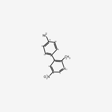 Cc1ncc([N+](=O)[O-])cc1-c1ccc(C#N)cc1